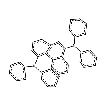 c1ccc(N(c2ccccc2)c2cc3cccc(N(c4ccccc4)c4ccccc4)c3c3ccccc23)cc1